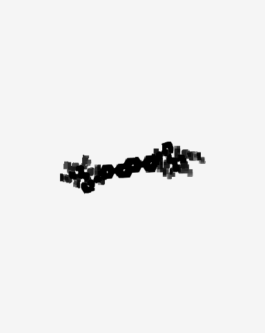 COC(=O)NC(C(=O)N1CCC[C@H]1c1nc2cc(-c3ccc4cc(-c5ccc6[nH]c([C@@H]7CCCN7C(=O)C(NC(=O)O)C(C)C)nc6c5)ccc4c3)ccc2[nH]1)C(C)C